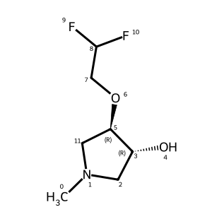 CN1C[C@@H](O)[C@H](OCC(F)F)C1